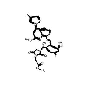 CNC(=O)CN1C(=O)CN([C@@H](C)c2cc(F)cc(Cl)c2COc2cccc3c(-n4cc(F)cn4)cc(C)nc23)C1=O